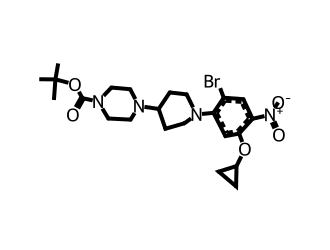 CC(C)(C)OC(=O)N1CCN(C2CCN(c3cc(OC4CC4)c([N+](=O)[O-])cc3Br)CC2)CC1